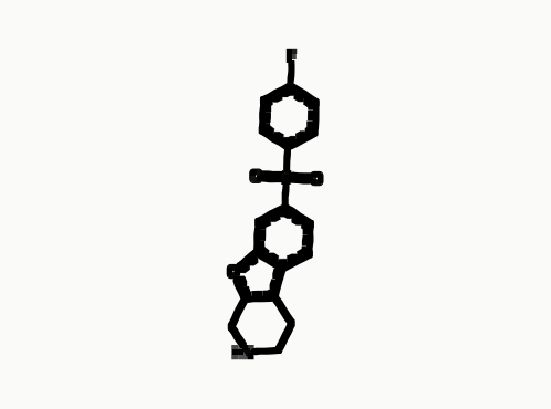 O=S(=O)(c1ccc(F)cc1)c1ccc2c3c(oc2c1)CNCC3